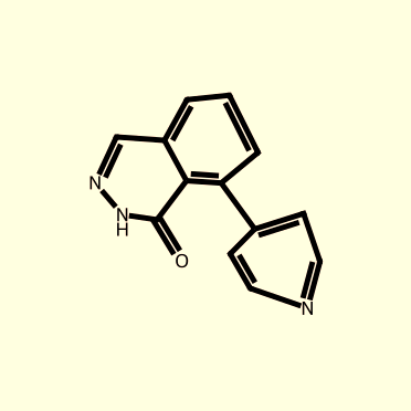 O=c1[nH]ncc2cccc(-c3ccncc3)c12